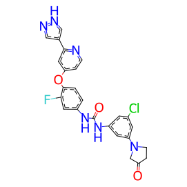 O=C1CCN(c2cc(Cl)cc(NC(=O)Nc3ccc(Oc4ccnc(-c5cn[nH]c5)c4)c(F)c3)c2)C1